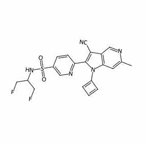 Cc1cc2c(cn1)c(C#N)c(-c1ccc(S(=O)(=O)NC(CF)CF)cn1)n2C1=CC=C1